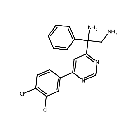 NCC(N)(c1ccccc1)c1cc(-c2ccc(Cl)c(Cl)c2)ncn1